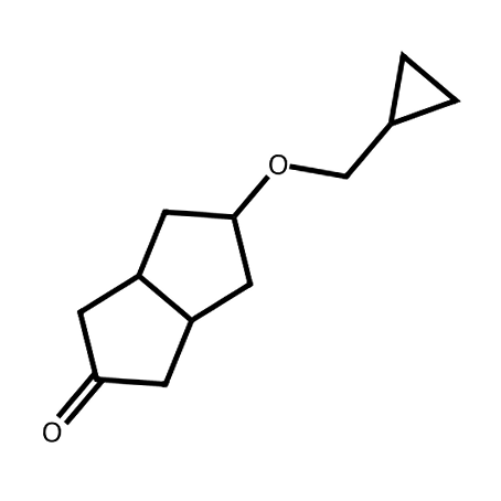 O=C1CC2CC(OCC3CC3)CC2C1